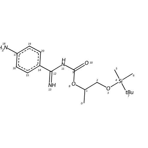 CC(CO[Si](C)(C)C(C)(C)C)OC(=O)NC(=N)c1ccc(N)cc1